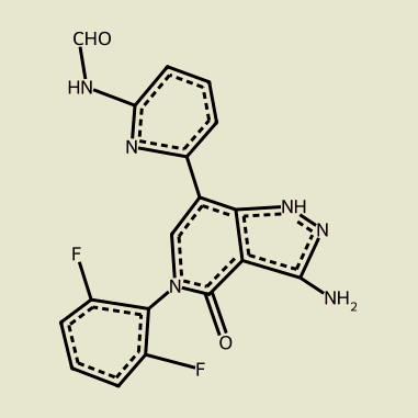 Nc1n[nH]c2c(-c3cccc(NC=O)n3)cn(-c3c(F)cccc3F)c(=O)c12